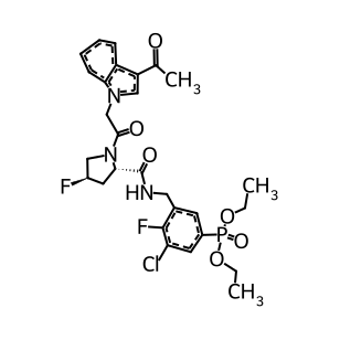 CCOP(=O)(OCC)c1cc(Cl)c(F)c(CNC(=O)[C@@H]2C[C@@H](F)CN2C(=O)Cn2cc(C(C)=O)c3ccccc32)c1